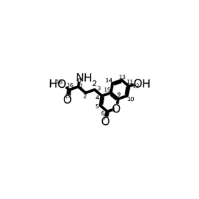 NC(CCc1cc(=O)oc2cc(O)ccc12)C(=O)O